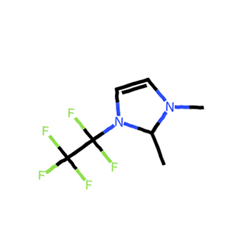 CC1N(C)C=CN1C(F)(F)C(F)(F)F